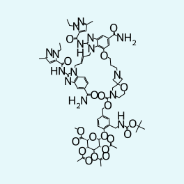 CCn1nc(C)cc1C(=O)Nc1nc2cc(C(N)=O)ccc2n1C/C=C/Cn1c(NC(=O)c2cc(C)nn2CC)nc2cc(C(N)=O)cc(OCCCN3CC4(C3)CN(C(=O)OCc3ccc(O[C@@H]5O[C@H](C(=O)OC)[C@@H](OC(C)=O)[C@H](OC(C)=O)[C@H]5OC(C)=O)c(CNC(=O)OC(C)(C)C)c3)CCO4)c21